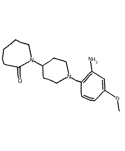 COc1ccc(N2CCC(N3CCCCC3=O)CC2)c(N)c1